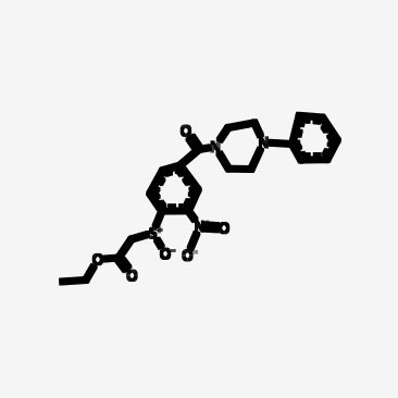 CCOC(=O)C[S+]([O-])c1ccc(C(=O)N2CCN(c3ccccc3)CC2)cc1[N+](=O)[O-]